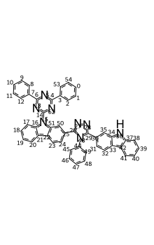 c1ccc(-c2nc(-c3ccccc3)nc(-n3c4ccccc4c4ccc(-c5nnc(-c6ccc7c(c6)[nH]c6ccccc67)n5-c5ccccc5)cc43)n2)cc1